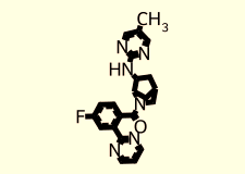 Cc1cnc(NC2CC3CC2N(C(=O)c2ccc(F)cc2-c2ncccn2)C3)nc1